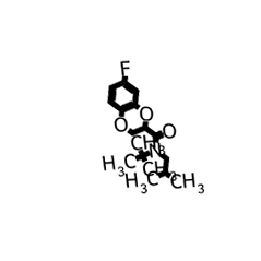 CC(C)CN(C(=O)C1COc2ccc(F)cc2O1)C(C)(C)C